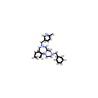 Cc1ccc(CN2Cc3ccccc3N3CCN(Cc4ccccc4)CC3C2)cn1